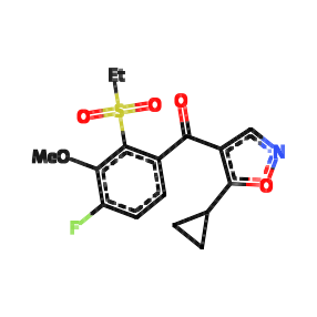 CCS(=O)(=O)c1c(C(=O)c2cnoc2C2CC2)ccc(F)c1OC